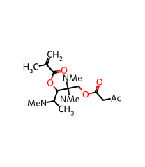 C=C(C)C(=O)OC(C(C)NC)C(COC(=O)CC(C)=O)(NC)NC